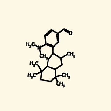 CC1CC2C(CC1c1cc(C=O)ccc1N(C)C)C(C)(C)CCC2(C)C